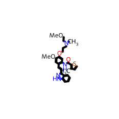 COCCN(C)CCCOc1cc(NC(=O)c2sccc2C)c(C=Cc2n[nH]c3ccccc23)cc1OC